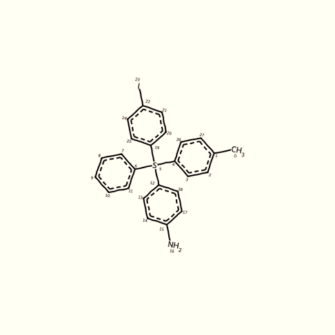 Cc1ccc(S(c2ccccc2)(c2ccc(N)cc2)c2ccc(I)cc2)cc1